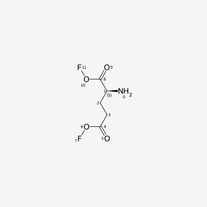 N[C@@H](CCC(=O)OF)C(=O)OF